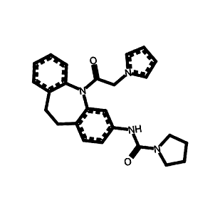 O=C(Nc1ccc2c(c1)N(C(=O)Cn1cccc1)c1ccccc1CC2)N1CCCC1